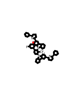 Fc1cc(F)cc(-c2ccc(-n3c4ccccc4c4cc(-c5cccc(-c6ccccc6)n5)ccc43)c(C(F)(F)F)c2-n2c3ccccc3c3cc(-c4cccc(-c5ccccc5)n4)ccc32)c1